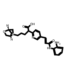 Nc1ccccc1NC(=O)C=Cc1ccc(C(CCCN2C[C@@H]3C[C@H]2CO3)C(=O)O)nc1